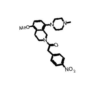 COc1ccc(N2CCN(C)CC2)c2c1CCN(C(=O)Cc1ccc([N+](=O)[O-])cc1)C2